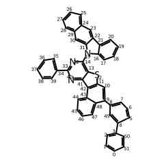 c1ccc(-c2cccc(-c3cc4sc5c(-n6c7ccccc7c7cc8ccccc8cc76)nc(-c6ccccc6)nc5c4c4ccccc34)c2)cc1